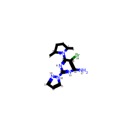 CC1CCC(C)N1c1nc(-n2cccn2)nc(N)c1Br